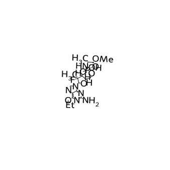 CCOc1nc(N)nc2c1ncn2[C@@H]1O[C@@H]2CO[PH](O)(NC(C)C(=O)OC)O[C@H]2[C@@]1(C)F